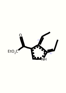 C/C=c1/c(C(=O)C(=O)OCC)c[nH]/c1=C/C